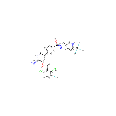 CC(Oc1cc(-c2ccc(C(=O)NCc3ccc(C(F)(F)F)nc3)cc2)cnc1N)c1c(Cl)ccc(F)c1Cl